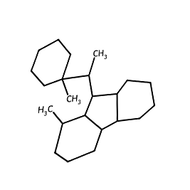 CC1CCCC2C3CCCCC3C(C(C)C3(C)CCCCC3)C12